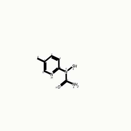 Cc1ccc(N(S)C(N)=O)nc1